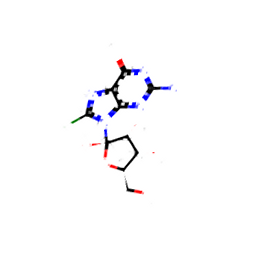 Nc1nc2c(nc(Br)n2[C@@]2(O)O[C@H](CO)[C@@H](O)[C@H]2O)c(=O)[nH]1